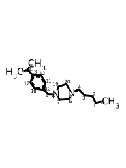 CCCCCN1CCN(Cc2ccc(C(C)C)cc2)CC1